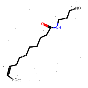 CCCCCCCC/C=C\CCCCCCCC(=O)NCCCN=O